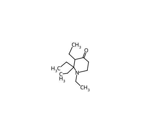 CCC1C(=O)CCN(CC)C1(CC)CC